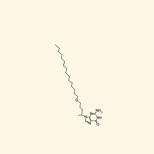 CCCCCCCCCCCCCCCCOCCC[C](C)n1cnc2c(=O)[nH]c(N)nc21